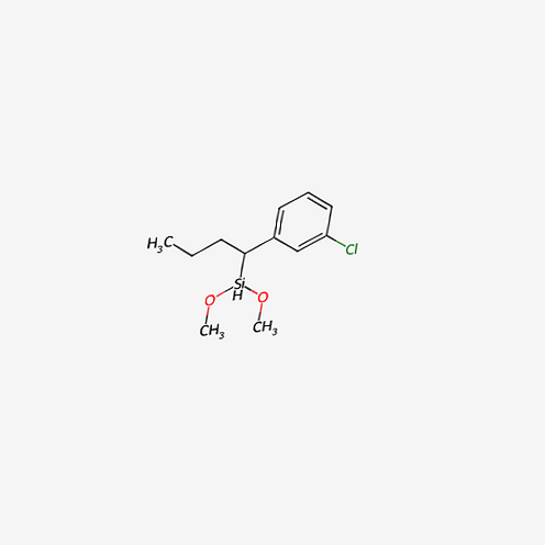 CCCC(c1cccc(Cl)c1)[SiH](OC)OC